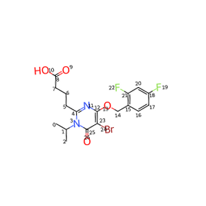 CC(C)n1c(CCCC(=O)O)nc(OCc2ccc(F)cc2F)c(Br)c1=O